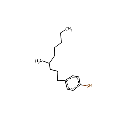 CCCCCC(C)CCCc1ccc(S)cc1